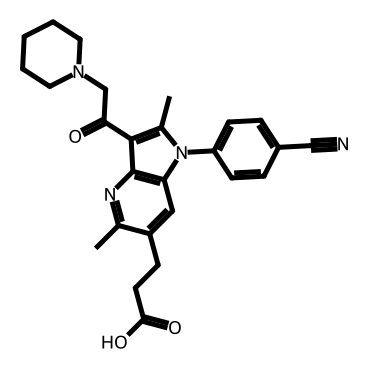 Cc1nc2c(C(=O)CN3CCCCC3)c(C)n(-c3ccc(C#N)cc3)c2cc1CCC(=O)O